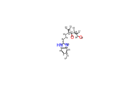 CCc1ccc2[nH]c(CCCC(C(=O)/C(C)=C(/C)C=O)=C(C)C)nc2c1